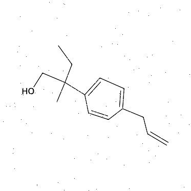 C=CCc1ccc(C(C)(CC)CO)cc1